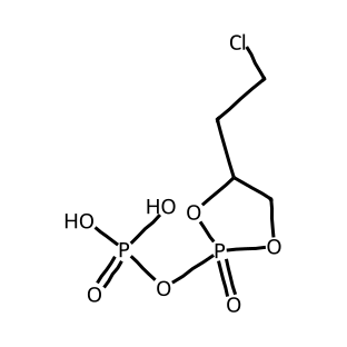 O=P(O)(O)OP1(=O)OCC(CCCl)O1